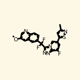 COc1cnc2ccc(C(F)(F)c3nnc4c(F)cc(-c5cc(C)ns5)cn34)cc2c1